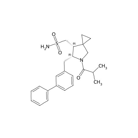 CC(C)C(=O)N1CC2(CC2)[C@@H](CS(N)(=O)=O)[C@H]1Cc1cccc(-c2ccccc2)c1